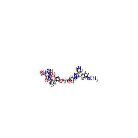 C/N=C1\CCc2cc(-c3cn(-c4ccc(OCCCOc5cccc(-c6cccc7c6C(=O)N(C(CCC=O)C(=O)NC)C7=O)c5)cc4)nc3-c3ccncc3)ccc21